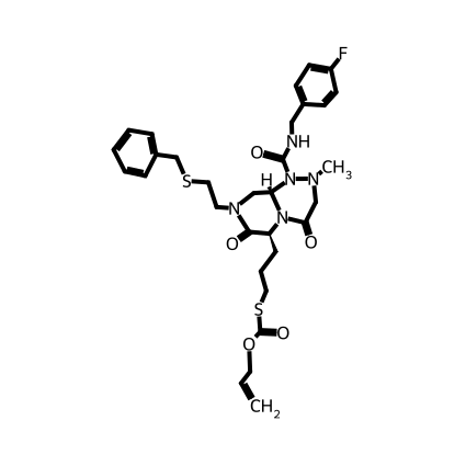 C=CCOC(=O)SCCC[C@H]1C(=O)N(CCSCc2ccccc2)C[C@H]2N1C(=O)CN(C)N2C(=O)NCc1ccc(F)cc1